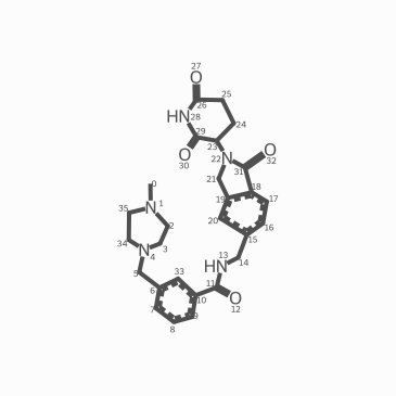 CN1CCN(Cc2cccc(C(=O)NCc3ccc4c(c3)CN(C3CCC(=O)NC3=O)C4=O)c2)CC1